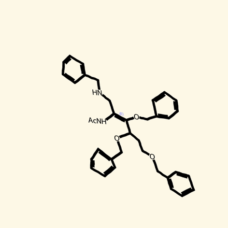 CC(=O)N/C(CNCc1ccccc1)=C(/OCc1ccccc1)C(CCOCc1ccccc1)OCc1ccccc1